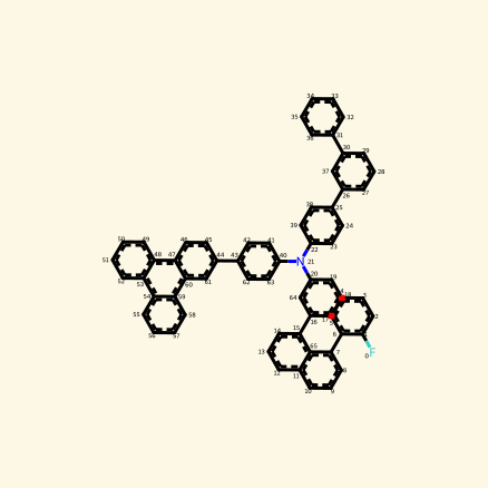 Fc1ccccc1-c1cccc2cccc(-c3cccc(N(c4ccc(-c5cccc(-c6ccccc6)c5)cc4)c4ccc(-c5ccc6c7ccccc7c7ccccc7c6c5)cc4)c3)c12